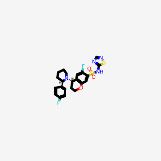 O=S(=O)(Nc1ncns1)c1cc2c(cc1F)[C@@H](N1CCCC[C@@H]1c1ccc(F)cc1)CCO2